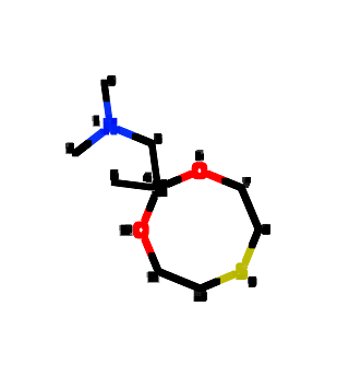 CN(C)C[Si]1(C)OCCSCCO1